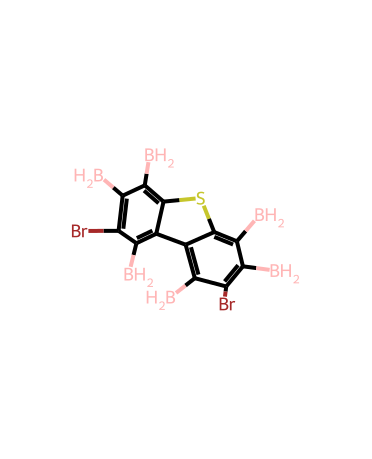 Bc1c(Br)c(B)c2c(sc3c(B)c(B)c(Br)c(B)c32)c1B